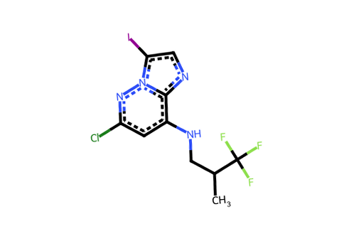 CC(CNc1cc(Cl)nn2c(I)cnc12)C(F)(F)F